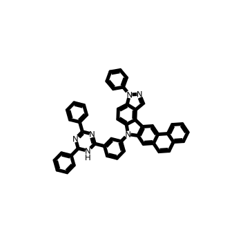 c1ccc(C2=NC(c3ccccc3)NC(c3cccc(-n4c5cc6ccc7ccccc7c6cc5c5c6cnn(-c7ccccc7)c6ccc54)c3)=N2)cc1